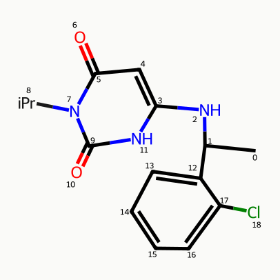 CC(Nc1cc(=O)n(C(C)C)c(=O)[nH]1)c1ccccc1Cl